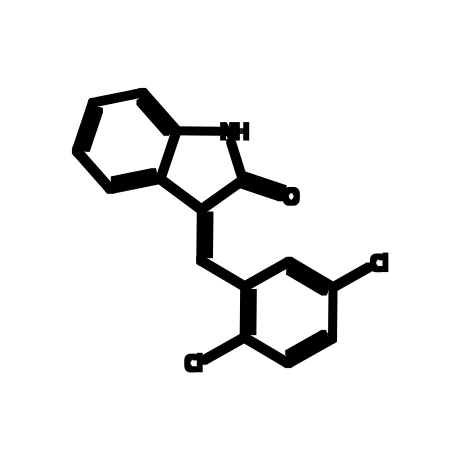 O=C1Nc2ccccc2C1=Cc1cc(Cl)ccc1Cl